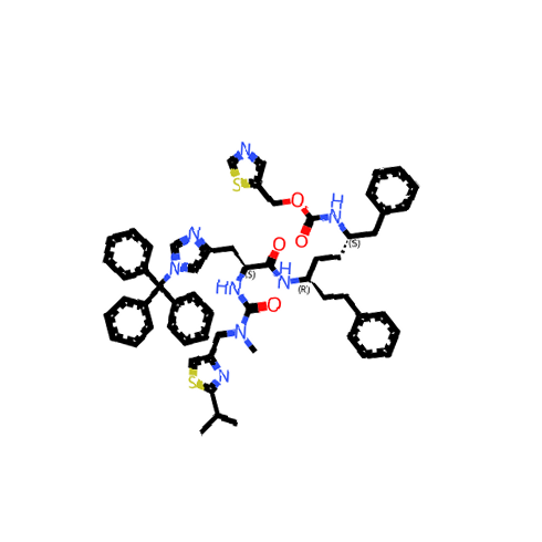 CC(C)c1nc(CN(C)C(=O)N[C@@H](Cc2cn(C(c3ccccc3)(c3ccccc3)c3ccccc3)cn2)C(=O)N[C@H](CCc2ccccc2)CC[C@@H](Cc2ccccc2)NC(=O)OCc2cncs2)cs1